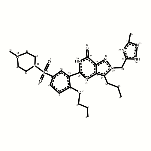 CCCOc1ccc(S(=O)(=O)N2CCN(C)CC2)cc1-c1nc2c(CCC)n(Cc3nc(C)n[nH]3)nc2c(=O)[nH]1